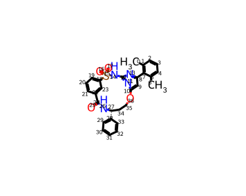 Cc1cccc(C)c1-c1cc2nc(n1)NS(=O)(=O)c1cccc(c1)C(=O)N[C@@H](c1ccccc1)CCO2